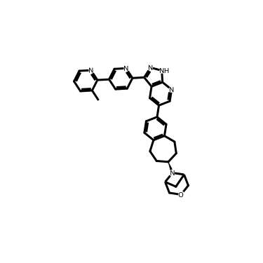 Cc1cccnc1-c1ccc(-c2n[nH]c3ncc(-c4ccc5c(c4)CC[C@@H](N4C6COCC4C6)CC5)cc23)nc1